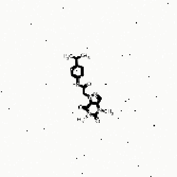 CC(C)c1ccc(NC(=O)Cn2ncc3c2c(=O)n(C)c(=O)n3C)cc1